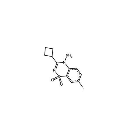 NN1C(C2CCC2)=NS(=O)(=O)c2cc(F)ccc21